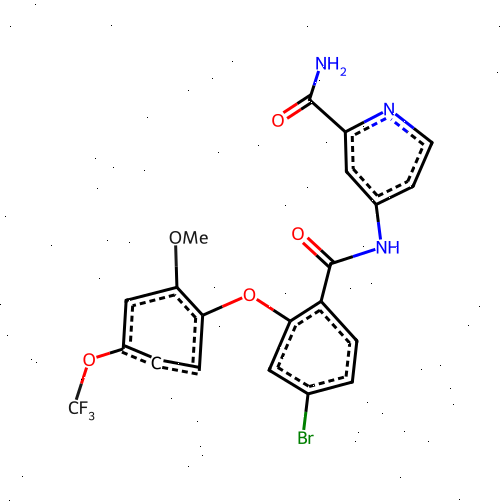 COc1cc(OC(F)(F)F)ccc1Oc1cc(Br)ccc1C(=O)Nc1ccnc(C(N)=O)c1